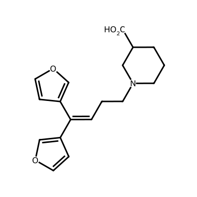 O=C(O)C1CCCN(CCC=C(c2ccoc2)c2ccoc2)C1